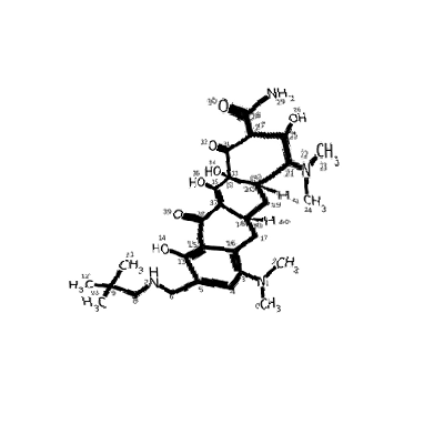 CN(C)c1cc(CNCC(C)(C)C)c(O)c2c1C[C@H]1C[C@H]3C(N(C)C)C(O)C(C(N)=O)C(=O)[C@@]3(O)C(O)=C1C2=O